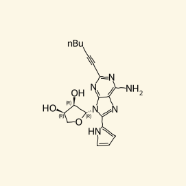 CCCCC#Cc1nc(N)c2nc(-c3ccc[nH]3)n([C@@H]3OC[C@@H](O)[C@H]3O)c2n1